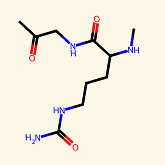 CNC(CCCNC(N)=O)C(=O)NCC(C)=O